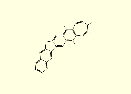 Cc1c2c(c(C)c3cc4c(cc13)oc1cc3ccccc3cc14)C=CC(C)C=C2